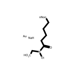 CCCCCCCCCCCCCC(=O)N(CC)CC(=O)O.[Au].[NaH]